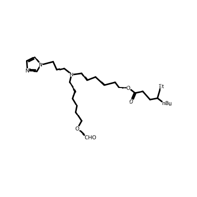 CCCCC(CC)CCC(=O)OCCCCCCN(CCCCCCOC=O)CCCn1ccnc1